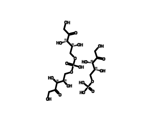 O=C(CO)[C@@H](O)[C@H](O)COP(=O)(O)O.O=C(CO)[C@@H](O)[C@H](O)COP(=O)(O)OC[C@@H](O)[C@H](O)C(=O)CO